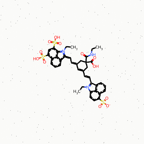 CCNC(=O)C1(C(=O)O)CC(/C=C/C2=[N+](CC)c3ccc(S(=O)(=O)[O-])c4cccc2c34)=CC(=C/C=c2\c3cccc4c(S(=O)(=O)O)cc(S(=O)(=O)O)c(c43)n2CC)/C1